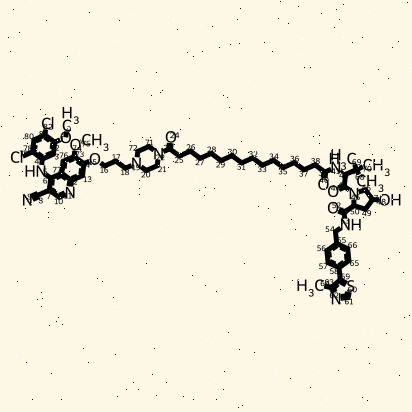 COc1cc(Nc2c(C#N)cnc3cc(OCCCN4CCN(C(=O)CCCCCCCCCCCCCCC(=O)N[C@H](C(=O)N5CC(O)CC5C(=O)NCc5ccc(-c6scnc6C)cc5)C(C)(C)C)CC4)c(OC)cc23)c(Cl)cc1Cl